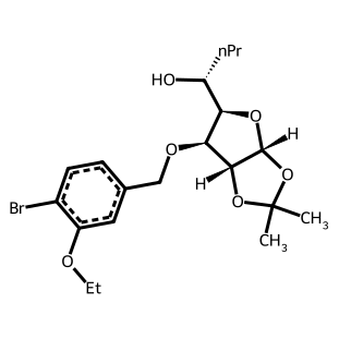 CCC[C@@H](O)[C@H]1O[C@@H]2OC(C)(C)O[C@@H]2[C@H]1OCc1ccc(Br)c(OCC)c1